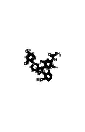 Cc1cccc(F)c1-n1nc2c(c1-c1cc(F)c(NC(N)=O)cc1F)CN(c1ncc(Cl)cc1Cl)CC2